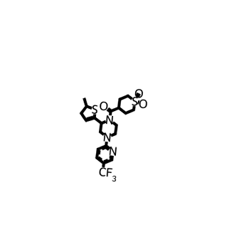 CC1CC=C(C2CN(c3ccc(C(F)(F)F)cn3)CCN2C(=O)C2CCS(=O)(=O)CC2)S1